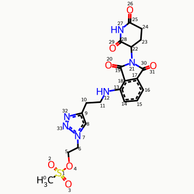 CS(=O)(=O)OCCn1cc(CCNc2cccc3c2C(=O)N(C2CCC(=O)NC2=O)C3=O)nn1